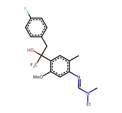 CCN(C)/C=N/c1cc(OC)c(C(O)(Cc2ccc(F)cc2)C(F)(F)F)cc1C